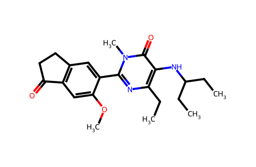 CCc1nc(-c2cc3c(cc2OC)C(=O)CC3)n(C)c(=O)c1NC(CC)CC